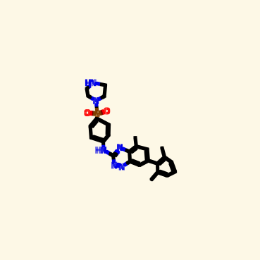 Cc1cccc(C)c1-c1cc(C)c2nc(Nc3ccc(S(=O)(=O)N4CCNCC4)cc3)nnc2c1